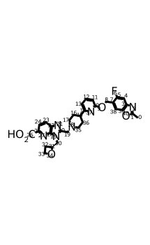 Cc1nc2cc(F)c(COc3cccc(C4CCN(Cc5nc6ccc(C(=O)O)nc6n5C[C@@H]5CCO5)CC4)n3)cc2o1